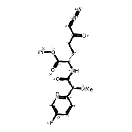 CO[C@H](C(=O)N[C@@H](CCC(=O)C=[N+]=[N-])C(=O)OC(C)C)c1ccc(F)cn1